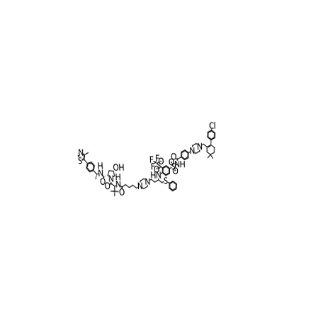 Cc1ncsc1-c1ccc([C@H](C)NC(=O)[C@@H]2C[C@@H](O)CN2C(=O)C(NC(=O)CCCCN2CCN(CCC(CSc3ccccc3)Nc3ccc(S(=O)(=O)NC(=O)c4ccc(N5CCN(CC6=C(c7ccc(Cl)cc7)CCC(C)(C)C6)CC5)cc4)cc3S(=O)(=O)C(F)(F)F)CC2)C(C)(C)C)cc1